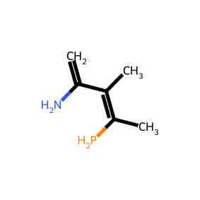 C=C(N)/C(C)=C(/C)P